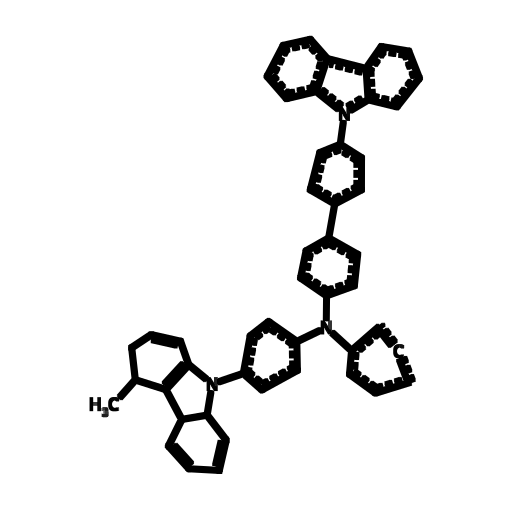 CC1CC=CC2=C1C1C=CC=CC1N2c1ccc(N(c2ccccc2)c2ccc(-c3ccc(-n4c5ccccc5c5ccccc54)cc3)cc2)cc1